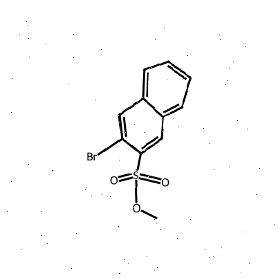 COS(=O)(=O)c1cc2ccccc2cc1Br